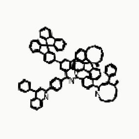 C=C1/C=C\C=C/C/N=C(c2ccc(-c3nc(-c4ccc(-c5cc(-c6ccccc6)c6ccccc6n5)cc4)c4cc(-c5ccc6c(c5)C5(c7ccccc7-c7ccccc75)c5ccccc5-6)cc(-c5ccc6c(c5)C5(C(=C)/C=C\C=C/C6)c6ccccc6-c6ccccc65)c4n3)cc2)\C=C/1c1ccccc1